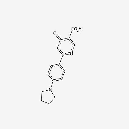 O=C(O)c1coc(-c2ccc(N3CCCC3)cc2)cc1=O